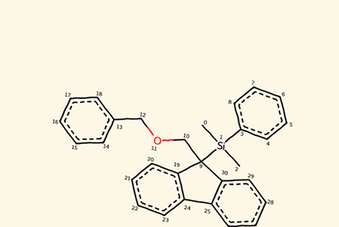 C[Si](C)(c1ccccc1)C1(COCc2ccccc2)c2ccccc2-c2ccccc21